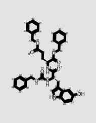 O=C(CC[C@H](NC(=O)[C@H](Cc1c[nH]c2ccc(O)cc12)NC(=O)OCc1ccccc1)C(=O)OCc1ccccc1)OCc1ccccc1